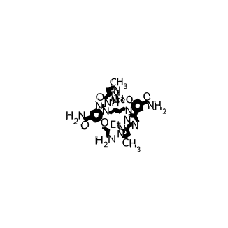 CCn1nc(C)cc1C(=O)Nc1nc2cc(C(N)=O)cc(OCCCN)c2n1C/C=C/Cn1c2nc(-c3cc(C)nn3CC)ncc2c2cc(C(N)=O)cc(OC)c21